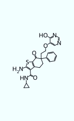 Nc1sc2c(c1C(=O)NC1CC1)CCC(CCOc1cncnc1O)(c1ccccc1)C2=O